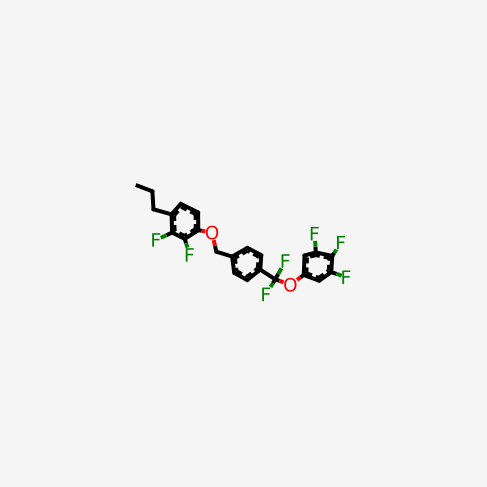 CCCc1ccc(OCc2ccc(C(F)(F)Oc3cc(F)c(F)c(F)c3)cc2)c(F)c1F